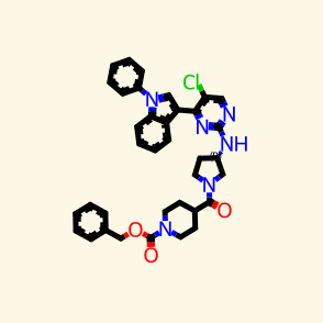 O=C(OCc1ccccc1)N1CCC(C(=O)N2CC[C@@H](Nc3ncc(Cl)c(-c4cn(-c5ccccc5)c5ccccc45)n3)C2)CC1